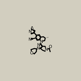 CC(=O)N1CCc2c(c(N3C[C@@H](C)Cc4cc(-c5cnn(C)c5)c(C#N)cc43)nn2C2CCOCC2)C1